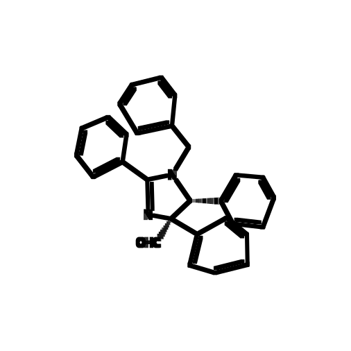 O=C[C@]1(c2ccccc2)N=C(c2ccccc2)N(Cc2ccccc2)[C@@H]1c1ccccc1